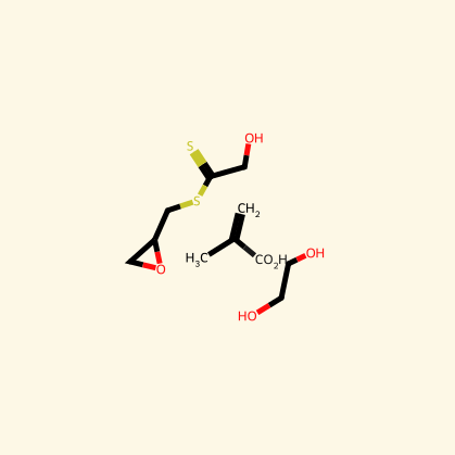 C=C(C)C(=O)O.OCC(=S)SCC1CO1.OCCO